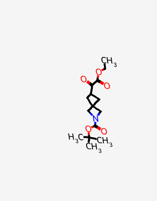 CCOC(=O)C(=O)C1CC2(C1)CN(C(=O)OC(C)(C)C)C2